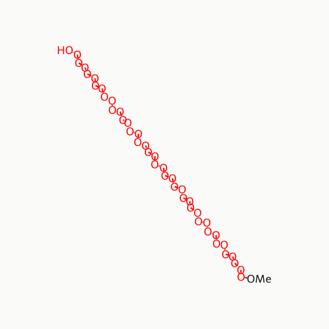 COOOOOOOOOOOOOOOOOOOOOOOOOOOOOOOOOOOOOOOOOO